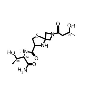 C[C@@H](O)CC(=O)N1CC2(C1)NC(C(=O)N[C@H](C(N)=O)[C@@H](C)O)CS2